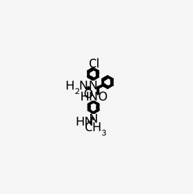 CNN=C1C=CC(NC(=O)C(c2ccccc2)N(C(N)=O)c2ccc(Cl)cc2)C=C1